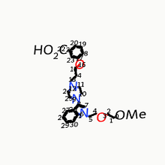 COCCOCCn1cc(N2CCN(CCCOc3cccc(C(=O)O)c3)CC2)c2ccccc21